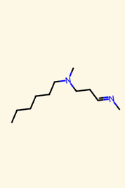 CCCCCCN(C)CCC=NC